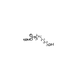 CC(C)(C)OC(=O)N1CC(CCCCCCO)C1